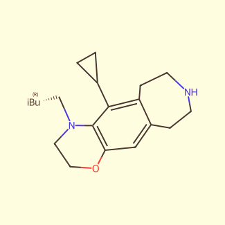 CC[C@@H](C)CN1CCOc2cc3c(c(C4CC4)c21)CCNCC3